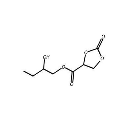 CCC(O)COC(=O)C1COC(=O)O1